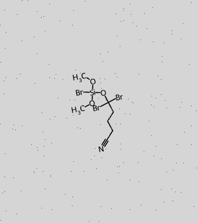 CO[Si](Br)(OC)OC(Br)(Br)CCCC#N